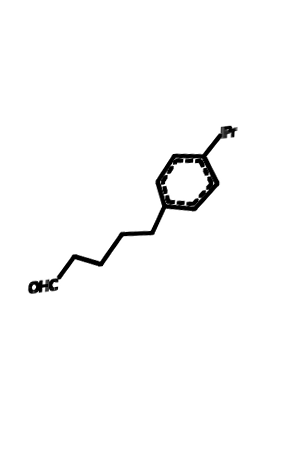 CC(C)c1ccc(CCCCC=O)cc1